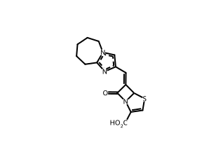 O=C(O)C1=CSC2C(=Cc3cn4c(n3)CCCCC4)C(=O)N12